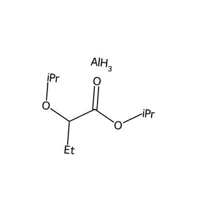 CCC(OC(C)C)C(=O)OC(C)C.[AlH3]